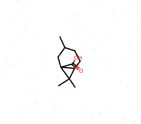 CC1CCC2C(C)(C)C2(C(=O)O)C1